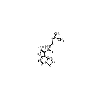 Cc1oc2c(c1C(=O)NCCN(C)C)C1=NCCN1C=N2